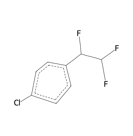 FC(F)C(F)c1ccc(Cl)cc1